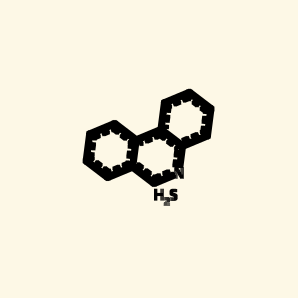 S.c1ccc2c(c1)cnc1ccccc12